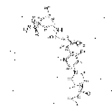 Cn1cc(C(=O)Nc2cc(Cl)cc(S(C)(=O)=O)c2)cc1-c1ncc(N2CCN(C(=O)C3CC3)CC2)cc1F